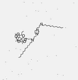 CCCCCCCCCCCCN(C)CCCN1CCN(CCCN(CCCCCCCCCCCC)CCCOC2OC(CC)C(OC(C)=O)C(OC(C)=O)C2OC(C)=O)CC1